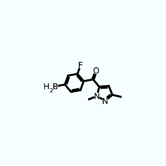 Bc1ccc(C(=O)c2cc(C)nn2C)c(F)c1